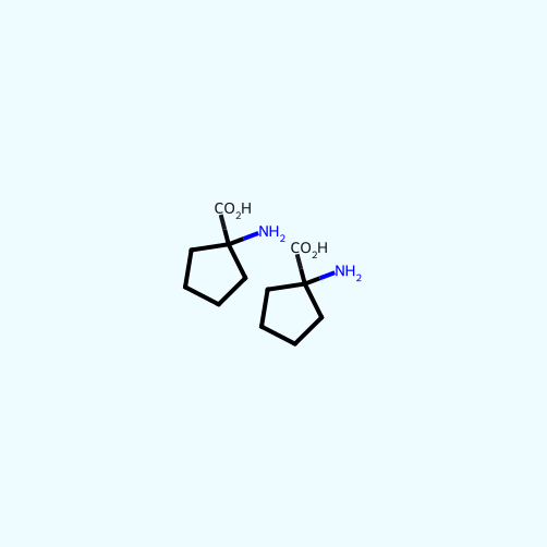 NC1(C(=O)O)CCCC1.NC1(C(=O)O)CCCC1